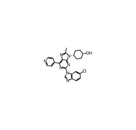 Cc1nc2c(-c3ccncc3)nc(-n3cnc4ccc(Cl)cc43)nc2n1[C@H]1CC[C@H](O)CC1